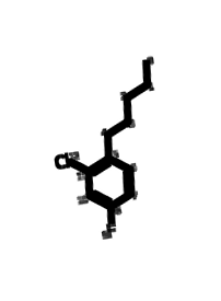 CCC[CH]Cc1ccc(F)cc1Cl